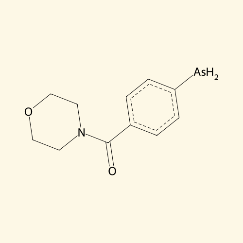 O=C(c1ccc([AsH2])cc1)N1CCOCC1